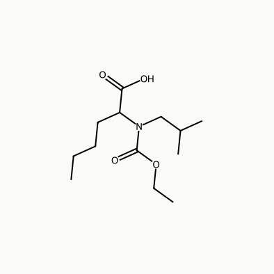 CCCCC(C(=O)O)N(CC(C)C)C(=O)OCC